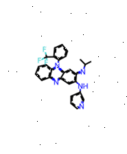 CC(C)/N=c1\cc2n(-c3ccccc3C(F)(F)F)c3ccccc3nc-2cc1Nc1cccnc1